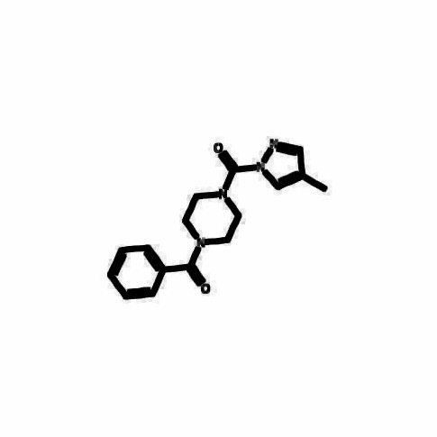 Cc1cnn(C(=O)N2CCN(C(=O)c3ccccc3)CC2)c1